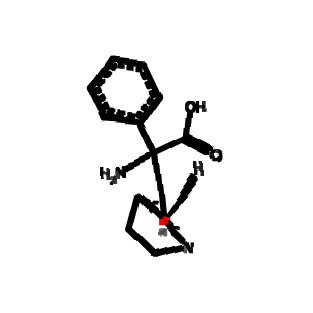 NC(C(=O)O)(c1ccccc1)[C@H]1CN2CCC1CC2